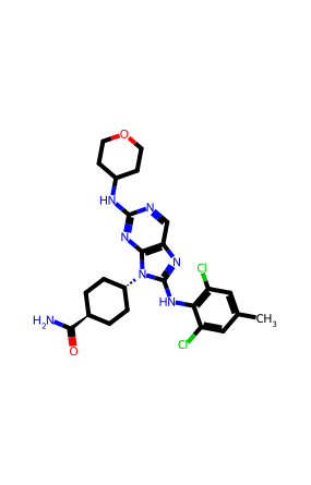 Cc1cc(Cl)c(Nc2nc3cnc(NC4CCOCC4)nc3n2[C@H]2CC[C@H](C(N)=O)CC2)c(Cl)c1